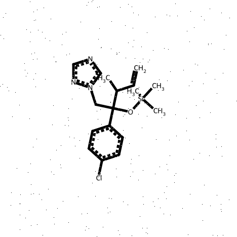 C=CC(C)C(Cn1cncn1)(O[Si](C)(C)C)c1ccc(Cl)cc1